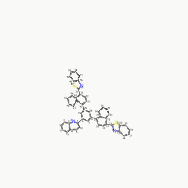 c1ccc2nc(-c3cc(-c4ccc(-c5nc6ccccc6s5)c5ccccc45)cc(-c4ccc(-c5nc6ccccc6s5)c5ccccc45)c3)ccc2c1